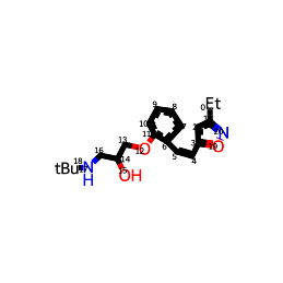 CCc1cc(/C=C\c2ccccc2OCC(O)CNC(C)(C)C)on1